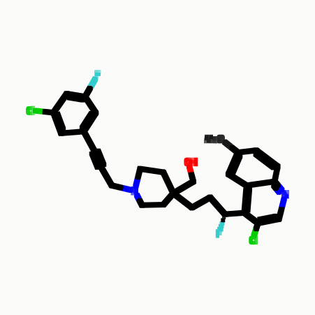 COc1ccc2ncc(Cl)c([C@H](F)CCC3(CO)CCN(CC#Cc4cc(F)cc(Cl)c4)CC3)c2c1